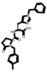 Cc1ccc(CN2C(=O)CC[C@H]2C(=O)N[C@@H](Cc2cn(Cc3ccccc3)cn2)C(=O)O)cc1